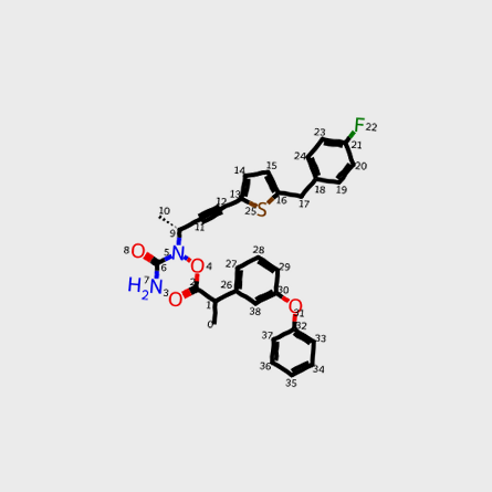 CC(C(=O)ON(C(N)=O)[C@H](C)C#Cc1ccc(Cc2ccc(F)cc2)s1)c1cccc(Oc2ccccc2)c1